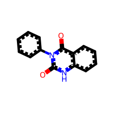 O=c1[nH]c2ccccc2c(=O)n1-c1ccccc1